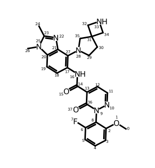 COc1cccc(F)c1-n1nccc(C(=O)Nc2ccc3c(nc(C)n3C)c2N2CCC3(CNC3)C2)c1=O